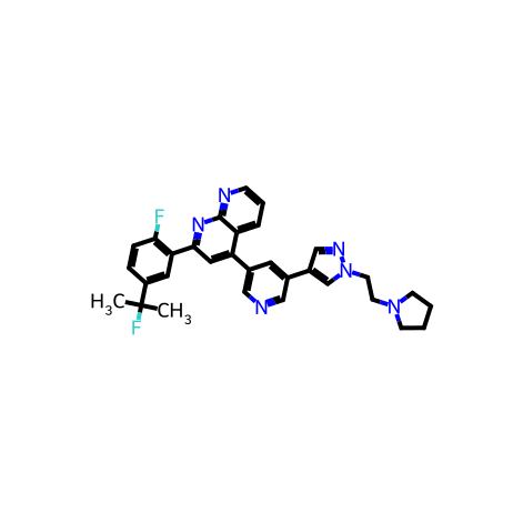 CC(C)(F)c1ccc(F)c(-c2cc(-c3cncc(-c4cnn(CCN5CCCC5)c4)c3)c3cccnc3n2)c1